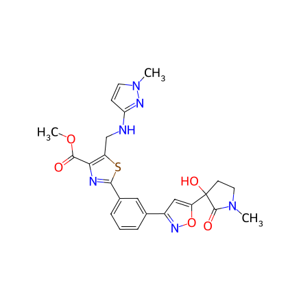 COC(=O)c1nc(-c2cccc(-c3cc(C4(O)CCN(C)C4=O)on3)c2)sc1CNc1ccn(C)n1